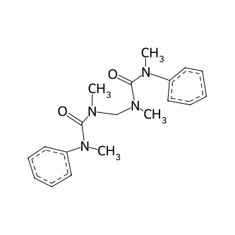 CN(CN(C)C(=O)N(C)c1ccccc1)C(=O)N(C)c1ccccc1